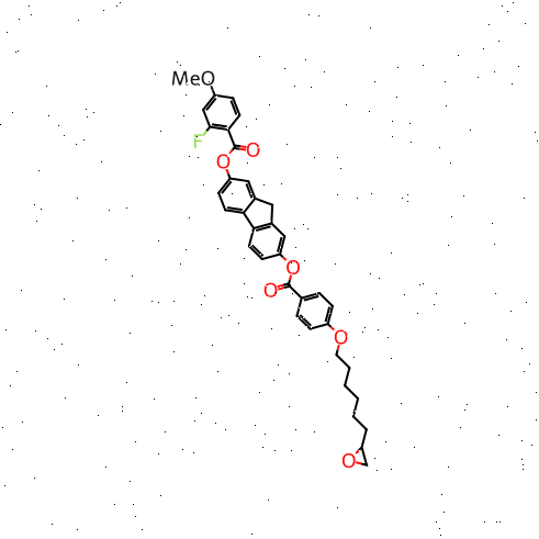 COc1ccc(C(=O)Oc2ccc3c(c2)Cc2cc(OC(=O)c4ccc(OCCCCCCC5CO5)cc4)ccc2-3)c(F)c1